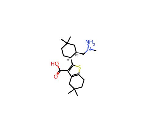 CN(N)C[C@@H]1CC(C)(C)CC[C@@H]1c1sc2c(c1C(=O)O)CC(C)(C)CC2